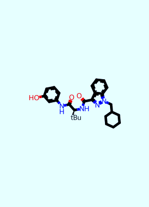 CC(C)(C)[C@H](NC(=O)c1nn(CC2CCCCC2)c2ccccc12)C(=O)Nc1cccc(O)c1